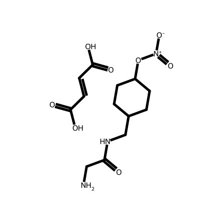 NCC(=O)NCC1CCC(O[N+](=O)[O-])CC1.O=C(O)C=CC(=O)O